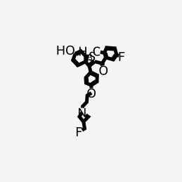 Cc1ccc(F)cc1C(=O)c1sc2cc(O)ccc2c1-c1ccc(OCCCN2CC(CF)C2)cc1